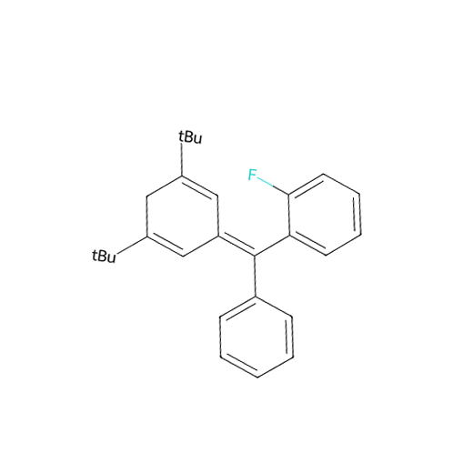 CC(C)(C)C1=CC(=C(c2ccccc2)c2ccccc2F)C=C(C(C)(C)C)C1